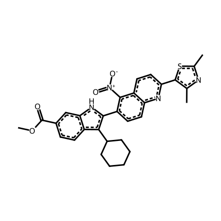 COC(=O)c1ccc2c(C3CCCCC3)c(-c3ccc4nc(-c5sc(C)nc5C)ccc4c3[N+](=O)[O-])[nH]c2c1